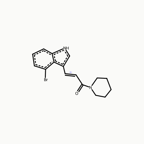 O=C(/C=C/c1c[nH]c2cccc(Br)c12)N1CCCCC1